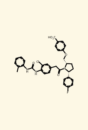 Cc1ccccc1NC(=O)Nc1ccc(CC(=O)N2[C@H](COc3ccc(C(=O)O)cc3)CC[C@@H]2c2ccc(F)cc2)cc1Cl